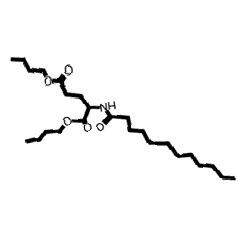 CCCCCCCCCCCC(=O)NC(CCC(=O)OCCCC)C(=O)OCCCC